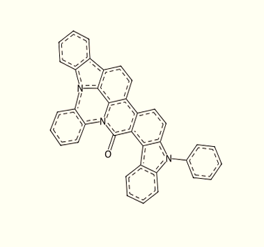 O=c1c2c(ccc3c2c2ccccc2n3-c2ccccc2)c2ccc3c4ccccc4n4c5ccccc5n1c2c34